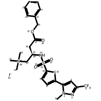 Cn1nc(C(F)(F)F)cc1-c1ccc(S(=O)(=O)N[C@H](CC(=O)OCc2ccccc2)C[N+](C)(C)C)s1.[I-]